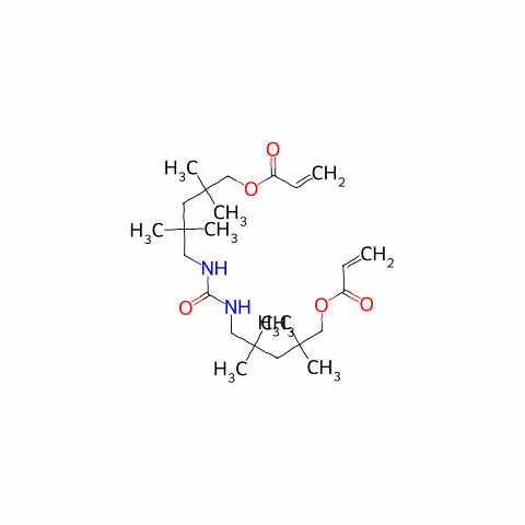 C=CC(=O)OCC(C)(C)CC(C)(C)CNC(=O)NCC(C)(C)CC(C)(C)COC(=O)C=C